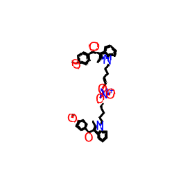 COc1ccc(C(=O)c2c(C)n(CCCCCO[N+](=O)OCCCCCn3c(C)c(C(=O)c4ccc(OC)cc4)c4ccccc43)c3ccccc23)cc1